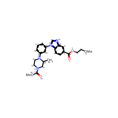 COCCOC(=O)c1ccc2c(c1)ncn2-c1cccc(N2CCN(C(=O)OC)CC2C)c1